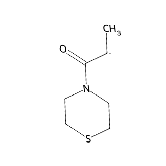 C[CH]C(=O)N1CCSCC1